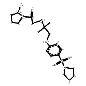 CC(C)(CNc1ccc(S(=O)(=O)N2CCSC2)cn1)NCC(=O)N1CCC[C@H]1C#N